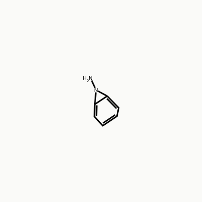 NN1c2ccccc21